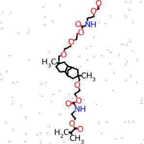 C=C(C)C(=O)OCCNC(=O)OCCOCC1(C)CC2CC(C1)C1CC(C)(COCCOCCOC(=O)NCCOC=O)CCC21